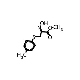 COC(=O)C(CSc1ccc(C)cc1)=NO